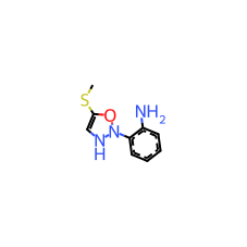 CSC1=CNN(c2ccccc2N)O1